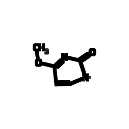 COC1=NC(=O)[N]C=C1